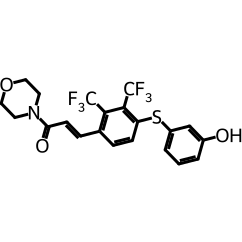 O=C(C=Cc1ccc(Sc2cccc(O)c2)c(C(F)(F)F)c1C(F)(F)F)N1CCOCC1